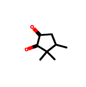 CC1CC(=O)C(=O)C1(C)C